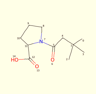 CC(C)(C)CC(=O)N1CCCC1C(=O)O